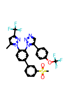 Cc1cc(C(F)(F)F)nn1-c1ccc(-c2cccc(S(C)(=O)=O)c2)cc1-n1nncc1-c1ccc(OC(F)(F)F)cc1